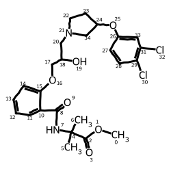 COC(=O)C(C)(C)NC(=O)c1ccccc1OCC(O)CN1CCC(Oc2ccc(Cl)c(Cl)c2)C1